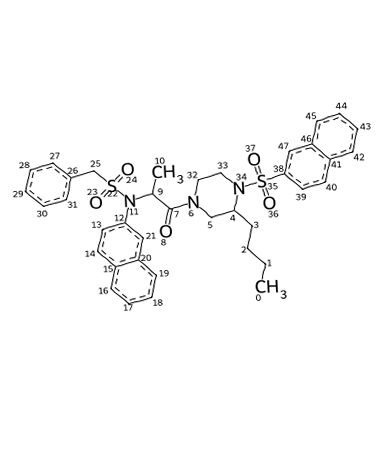 CCCCC1CN(C(=O)C(C)N(c2ccc3ccccc3c2)S(=O)(=O)Cc2ccccc2)CCN1S(=O)(=O)c1ccc2ccccc2c1